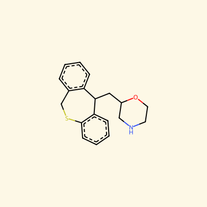 c1ccc2c(c1)CSc1ccccc1C2CC1CNCCO1